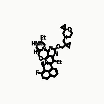 C#Cc1c(F)ccc2cccc(-c3nc4c5c(nc(OCC6(CN7CCOC8(CC8)C7)CC6)nc5c3CC)N3C[C@@H](CC)NC[C@H]3CO4)c12